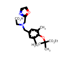 CCOC(=O)C(C)(C)Oc1c(C)cc(CN(CC(=O)O)Cc2ncco2)cc1C